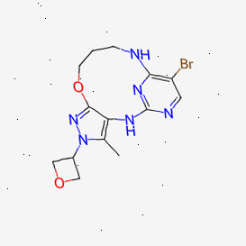 Cc1c2c(nn1C1COC1)OCCCNc1nc(ncc1Br)N2